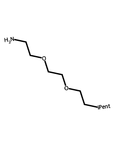 CCCC(C)CCOCCOCCN